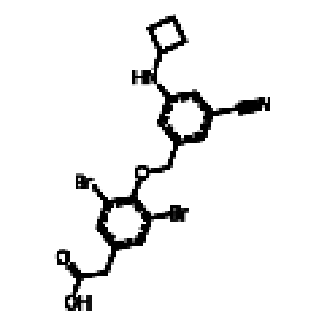 N#Cc1cc(COc2c(Br)cc(CC(=O)O)cc2Br)cc(NC2CCC2)c1